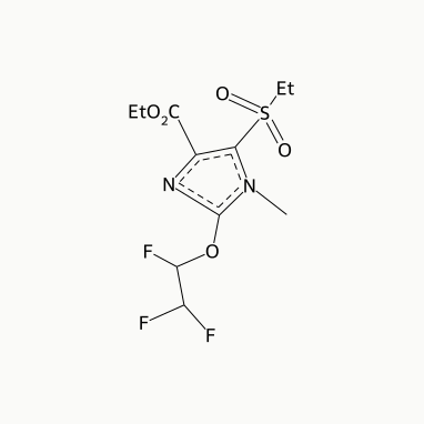 CCOC(=O)c1nc(OC(F)C(F)F)n(C)c1S(=O)(=O)CC